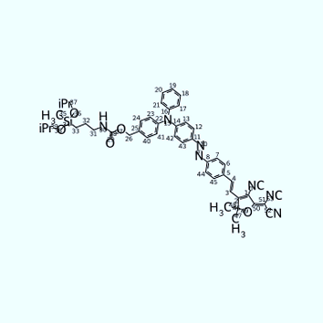 [C-]#[N+]C1=C(/C=C/c2ccc(/N=N/c3ccc(N(c4ccccc4)c4ccc(COC(=O)NCCC[Si](C)(OC(C)C)OC(C)C)cc4)cc3)cc2)C(C)(C)O/C1=C(\C#N)[N+]#[C-]